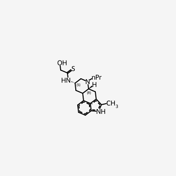 CCCN1C[C@@H](NC(=S)CO)CC2c3cccc4[nH]c(C)c(c34)C[C@H]21